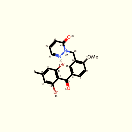 COc1ccc(C(=O)c2c(Br)cc(C)cc2Br)cc1Cn1ncccc1=O